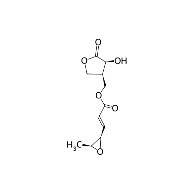 C[C@@H]1O[C@@H]1/C=C/C(=O)OC[C@H]1COC(=O)[C@H]1O